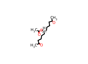 CC(=O)CCC[CH2][SnH]([CH2]CCCC(C)=O)[O]C(C)=O